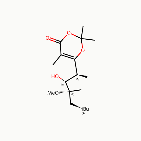 CC[C@H](C)C[C@@](C)(OC)[C@H](O)[C@H](C)C1=C(C)C(=O)OC(C)(C)O1